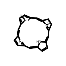 [O-][N+]1=C2/C=c3/cc/c([nH]3)=C/C3=NC(=C\C4=CC=C(/C=C1/CC2)[NH+]4[O-])/C=C3